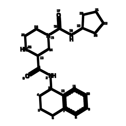 O=C(NC1CCCc2ccccc21)C1CN(C(=O)NC2CCCC2)CCN1